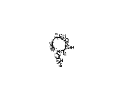 CSc1nc(C=C(C)[C@@H]2C[C@@H]3O[C@]3(C)CCC[C@H](C)[C@H](O)[C@@H](C)C(=O)C(C)(C)[C@@H](O)CC(=O)O2)cs1